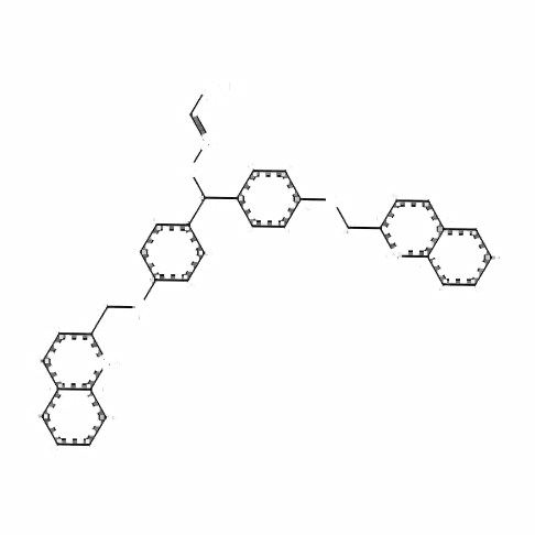 CCOC(=O)C=NOC(c1ccc(OCc2ccc3ccccc3n2)cc1)c1ccc(OCc2ccc3ccccc3n2)cc1